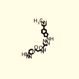 Cn1cc(-c2ccc3c(c2)CC(Nc2ncc(-c4nnc(CC(=O)N5CCc6[nH]nnc6C5)o4)cn2)C3)cn1